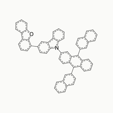 c1ccc2cc(-c3c4ccccc4c(-c4ccc5ccccc5c4)c4cc(-n5c6ccccc6c6cc(-c7cccc8c7oc7ccccc78)ccc65)ccc34)ccc2c1